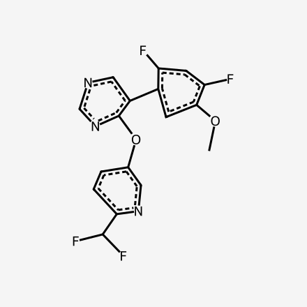 COc1cc(-c2cncnc2Oc2ccc(C(F)F)nc2)c(F)cc1F